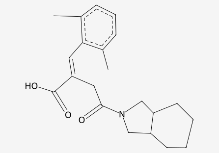 Cc1cccc(C)c1C=C(CC(=O)N1CC2CCCCC2C1)C(=O)O